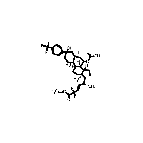 CCOC(=O)C(F)(F)/C=C/[C@@H](C)[C@H]1CC[C@H]2[C@@H]3[C@H](OC(C)=O)C[C@@H]4C[C@](O)(c5ccc(C(F)(F)F)cc5)CC[C@]4(C)[C@H]3CC[C@]12C